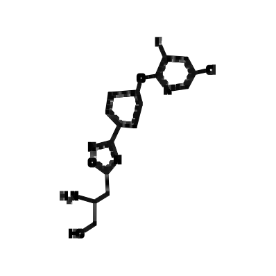 NC(CO)Cc1nc(-c2ccc(Oc3ncc(Cl)cc3F)cc2)no1